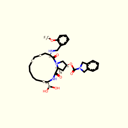 O=C1N[C@H](B(O)O)CCCCCCCCC[C@H](NCc2ccccc2OC(F)(F)F)C(=O)N2C[C@H](OC(=O)N3Cc4ccccc4C3)C[C@@H]12